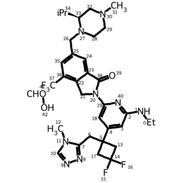 CCNc1cc(C2(Cc3nncn3C)CC(F)(F)C2)cc(N2Cc3c(cc(CN4CCN(C)C[C@@H]4C(C)C)cc3C(F)(F)F)C2=O)n1.O=CO